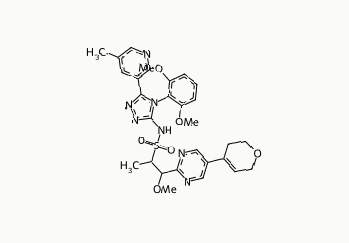 COc1cccc(OC)c1-n1c(NS(=O)(=O)C(C)C(OC)c2ncc(C3=CCOCC3)cn2)nnc1-c1cncc(C)c1